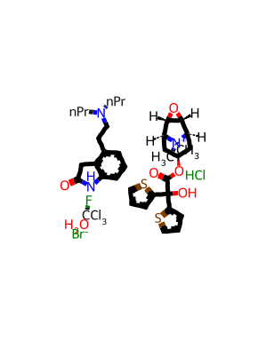 CCCN(CCC)CCc1cccc2c1CC(=O)N2.C[N+]1(C)[C@@H]2C[C@@H](OC(=O)C(O)(c3cccs3)c3cccs3)C[C@H]1[C@@H]1O[C@@H]12.Cl.FC(Cl)(Cl)Cl.O.[Br-]